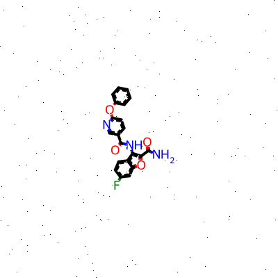 NC(=O)c1oc2cc(F)ccc2c1NC(=O)c1ccc(Oc2ccccc2)nc1